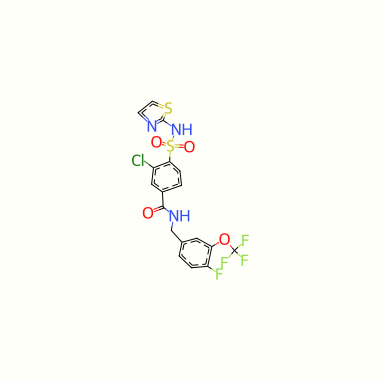 O=C(NCc1ccc(F)c(OC(F)(F)F)c1)c1ccc(S(=O)(=O)Nc2nccs2)c(Cl)c1